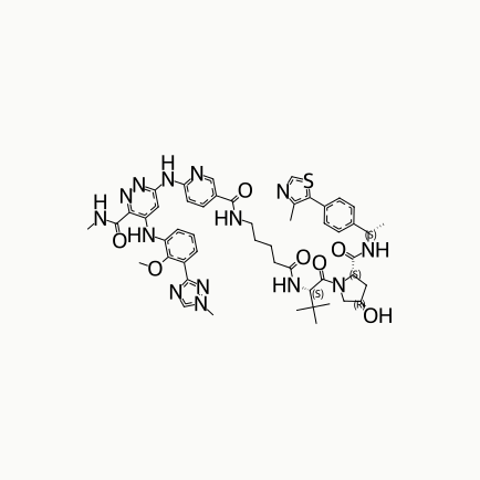 CNC(=O)c1nnc(Nc2ccc(C(=O)NCCCCC(=O)N[C@H](C(=O)N3C[C@H](O)C[C@H]3C(=O)N[C@@H](C)c3ccc(-c4scnc4C)cc3)C(C)(C)C)cn2)cc1Nc1cccc(-c2ncn(C)n2)c1OC